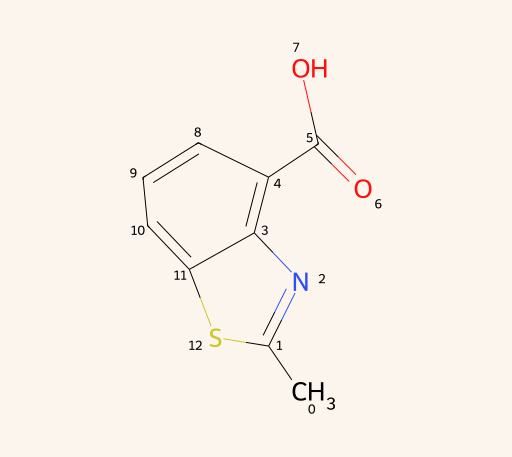 Cc1nc2c(C(=O)O)cccc2s1